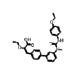 CCO/C(=C/c1ccc(-c2cccc(N(C)C(=O)Nc3ccc(OCC)cc3)c2)cc1)C(=O)O